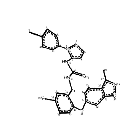 Cc1ccc(-n2nccc2NC(=O)NCc2cc(F)ccc2Oc2ccc3c(C)noc3c2)cc1